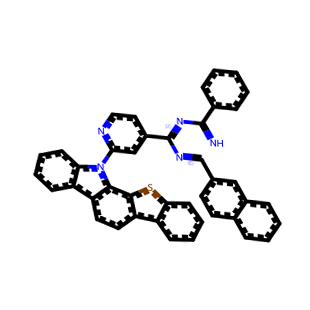 N=C(/N=C(\N=C\c1ccc2ccccc2c1)c1ccnc(-n2c3ccccc3c3ccc4c5ccccc5sc4c32)c1)c1ccccc1